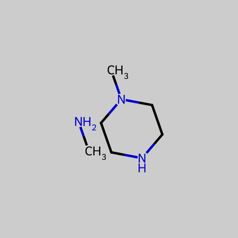 CN.CN1CCNCC1